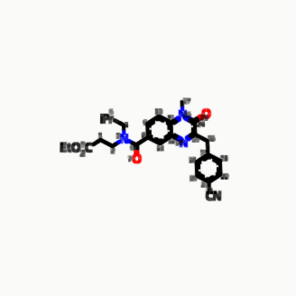 CCOC(=O)CCN(CC(C)C)C(=O)c1ccc2c(c1)nc(Cc1ccc(C#N)cc1)c(=O)n2C